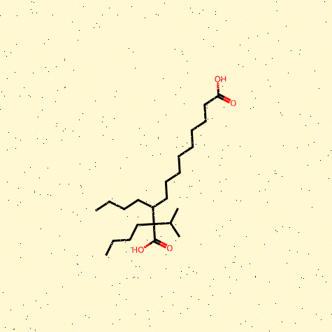 CCCCC(CCCCCCCCC(=O)O)C(CCCC)(C(=O)O)C(C)C